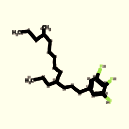 CCCC(C)CCCCCC(CCC)CCCc1cc(F)c(F)c(F)c1